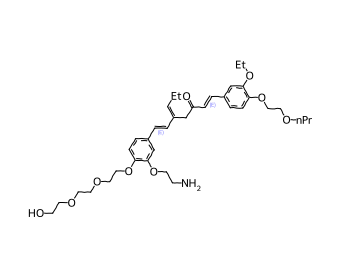 CCC=C(/C=C/c1ccc(OCCOCCOCCO)c(OCCN)c1)CC(=O)/C=C/c1ccc(OCCOCCC)c(OCC)c1